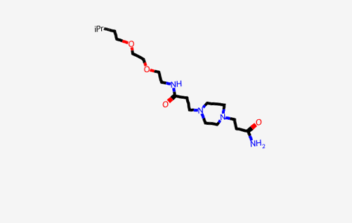 CC(C)CCOCCOCCNC(=O)CCN1CCN(CCC(N)=O)CC1